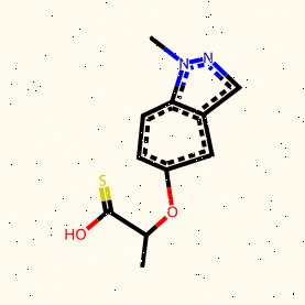 CC(Oc1ccc2c(cnn2C)c1)C(O)=S